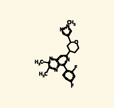 Cc1nc2cc(C3CCOC(c4cnn(C)c4)C3)nc(-c3ccc(F)cc3F)c2nc1C